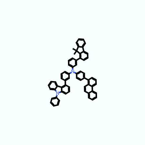 CC1(C)c2ccccc2-c2cccc(-c3cccc(N(c4ccc(-c5cccc6c5ccc5ccccc56)cc4)c4cccc(-c5cccc6c5c5ccccc5n6-c5ccccc5)c4)c3)c21